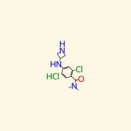 CN(C)C(=O)c1ccc(NC2CNC2)cc1Cl.Cl